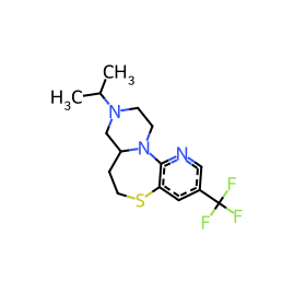 CC(C)N1CCN2c3ncc(C(F)(F)F)cc3SCCC2C1